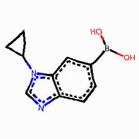 OB(O)c1ccc2ncn(C3CC3)c2c1